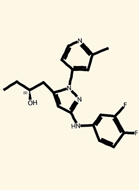 CC[C@H](O)Cc1cc(Nc2ccc(F)c(F)c2)nn1-c1ccnc(C)c1